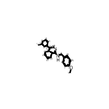 COc1ccc(CNc2nnc(-c3cccc(C)c3)c3ccccc23)cc1